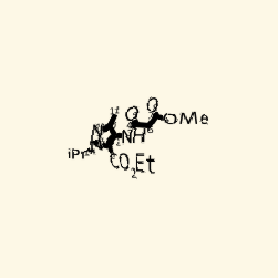 CCOC(=O)c1c(NC(=O)CC(=O)OC)c(C)nn1C(C)C